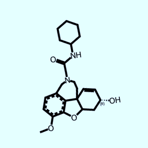 COc1ccc2c3c1OC1C[C@@H](O)C=CC31CCN(C(=O)NC1CCCCC1)C2